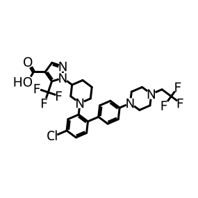 O=C(O)c1cnn(C2CCCN(c3cc(Cl)ccc3-c3ccc(N4CCN(CC(F)(F)F)CC4)cc3)C2)c1C(F)(F)F